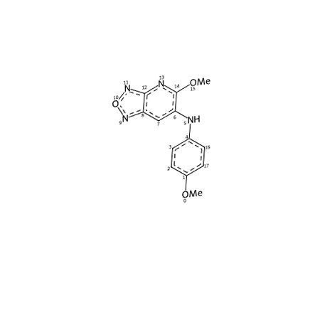 COc1ccc(Nc2cc3nonc3nc2OC)cc1